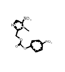 Cn1c([N+](=O)[O-])cnc1COC(=O)Oc1ccc([N+](=O)[O-])cc1